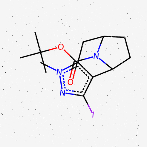 Cn1nc(I)c2c1CC1CCC2N1C(=O)OC(C)(C)C